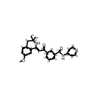 COc1ccc2c(c1)C(=CC(=O)c1cccc(C(=O)Nc3ccncc3)c1)NC(C)(C)C2